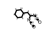 O=C=NC(CC1CCCCC1)N=C=O